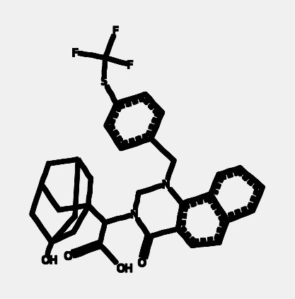 O=C(O)C(N1CN(Cc2ccc(SC(F)(F)F)cc2)c2c(ccc3ccccc23)C1=O)C12CC3CC(CC(O)(C3)C1)C2